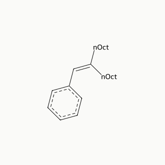 CCCCCCCCC(=Cc1ccccc1)CCCCCCCC